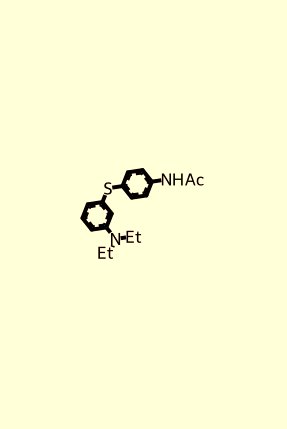 CCN(CC)c1cccc(Sc2ccc(NC(C)=O)cc2)c1